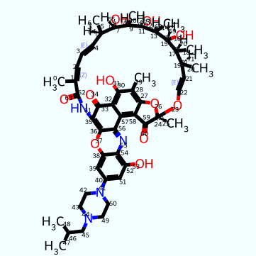 C/C1=C/C=C/[C@H](C)[C@H](O)[C@@H](C)[C@@H](O)[C@@H](C)[C@H](O)[C@H](C)[C@@H](C)/C=C/O[C@@]2(C)Oc3c(C)c(O)c4c(=O)c(c5oc6cc(N7CCN(CC(C)C)CC7)cc(O)c6nc-5c4c3C2=O)NC1=O